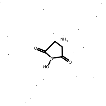 N.O=C1CCC(=O)N1O